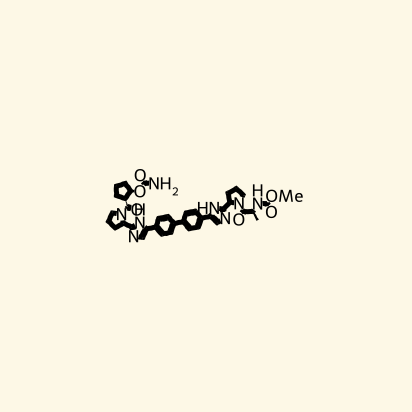 COC(=O)N[C@@H](C)C(=O)N1CCCC1c1ncc(-c2ccc(-c3ccc(-c4cnc(C5CCCN5C(=O)[C@@H]5CCC[C@H]5OC(N)=O)[nH]4)cc3)cc2)[nH]1